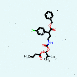 CCCC(=O)OC(OC(=O)NCCC(C(=O)OCc1ccccc1)c1ccc(Cl)cc1)C(C)C